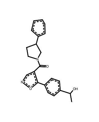 CC(O)c1ccc(-c2oncc2C(=O)N2CCC(c3ccccc3)C2)cc1